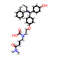 CC/C(=C(\c1ccc(O)cc1)c1ccc(OCCN(C/C=C/C(=O)N(C)C)C(=O)O)cc1)c1ccccc1C